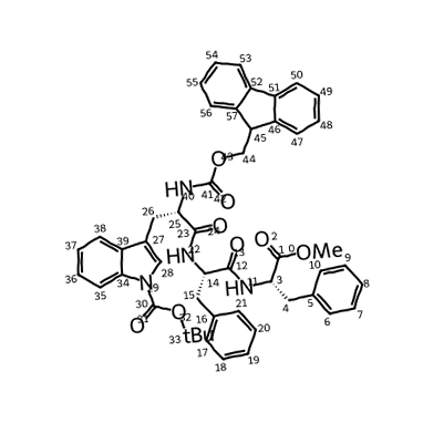 COC(=O)[C@H](Cc1ccccc1)NC(=O)[C@H](Cc1ccccc1)NC(=O)[C@H](Cc1cn(C(=O)OC(C)(C)C)c2ccccc12)NC(=O)OCC1c2ccccc2-c2ccccc21